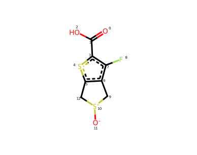 O=C(O)c1sc2c(c1F)C[S+]([O-])C2